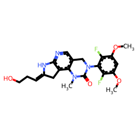 COc1cc(OC)c(F)c(N2Cc3cnc4c(c3N(C)C2=O)CC(=CCCO)N4)c1F